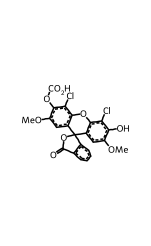 COc1cc2c(c(Cl)c1O)Oc1c(cc(OC)c(OC(=O)O)c1Cl)C21OC(=O)c2ccccc21